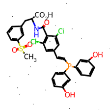 CS(=O)(=O)c1cccc(C[C@H](NC(=O)c2c(Cl)cc(/C=C/P(c3cccc(O)c3)c3cccc(O)c3)cc2Cl)C(=O)O)c1